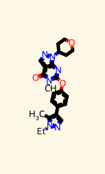 CCn1ncc(-c2ccc(Oc3nc4c(cnn4C4CCOCC4)c(=O)n3C)cc2)c1C